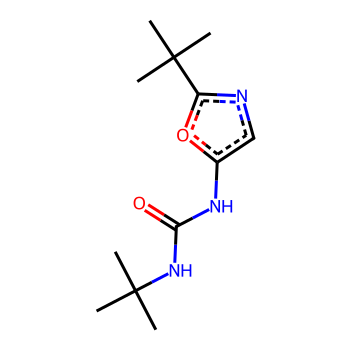 CC(C)(C)NC(=O)Nc1cnc(C(C)(C)C)o1